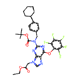 CCOC(=O)Cn1cnc2c(Oc3c(F)c(F)c(F)c(F)c3F)nc(N(Cc3ccc(C4CCCCC4)cc3)C(=O)OC(C)(C)C)nc21